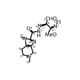 CC/N=C(OC)\C(C=O)=N/NC(=O)c1nc2c(n1C)CCN(C)C2